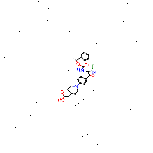 CC(OC(=O)Nc1c(F)noc1-c1ccc(N2CCC(CC(=O)O)CC2)cc1)c1ccccc1